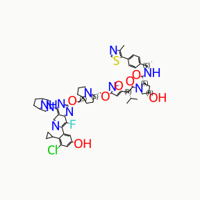 Cc1ncsc1-c1ccc([C@H](C)NC(=O)[C@@H]2C[C@@H](O)CN2C(=O)[C@@H](c2cc(OC[C@@H]3CC[C@]4(COc5nc(N6CC7CCC(C6)N7)c6cnc(-c7cc(O)cc(Cl)c7C7CC7)c(F)c6n5)CCCN34)no2)C(C)C)cc1